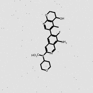 Cc1c(-c2cc3cc(N(C(=O)O)C4CCOCC4)ncc3c(N)c2F)cnc2c1C(O)CCO2